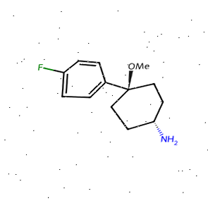 CO[C@]1(c2ccc(F)cc2)CC[C@@H](N)CC1